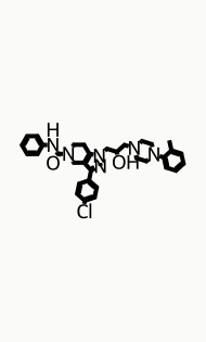 Cc1ccccc1N1CCN(CC(O)Cn2nc(-c3ccc(Cl)cc3)c3c2CCN(C(=O)Nc2ccccc2)C3)CC1